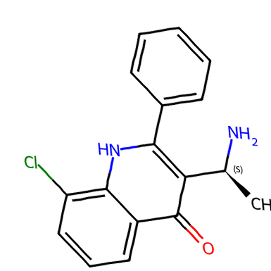 C[C@H](N)c1c(-c2ccccc2)[nH]c2c(Cl)cccc2c1=O